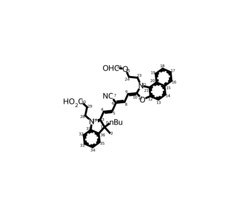 CCCCC1(C)C(/C=C/C(C#N)=C/C=C2\Oc3ccc4ccccc4c3N2CCOC=O)=[N+](CCC(=O)O)c2ccccc21